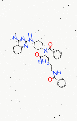 CN(C)c1nc(N[C@H]2CC[C@@H](N(C(=O)c3ccccc3)[C@@H](CCCCNC(=O)c3ccccc3)C(N)=O)CC2)nc2c1CCCC2